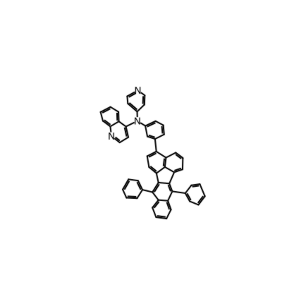 c1ccc(-c2c3c(c(-c4ccccc4)c4ccccc24)-c2ccc(-c4cccc(N(c5ccncc5)c5ccnc6ccccc56)c4)c4cccc-3c24)cc1